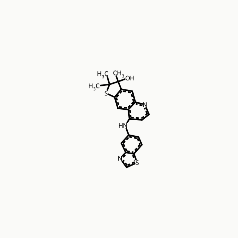 CC1(C)Sc2cc3c(Nc4ccc5scnc5c4)ccnc3cc2C1(C)O